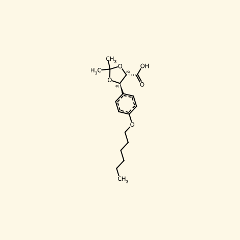 CCCCCCOc1ccc([C@H]2OC(C)(C)O[C@@H]2C(=O)O)cc1